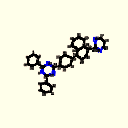 c1ccc(-c2nc(-c3ccccc3)nc(-c3ccc(-c4ccc(-c5ncccn5)c5ccccc45)cc3)n2)cc1